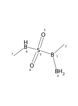 BB(C)S(=O)(=O)BC